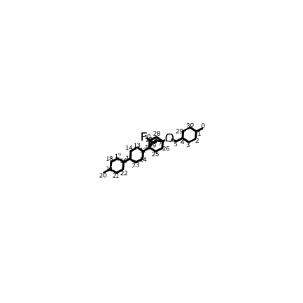 CC1CCC(COC23C=C(F)C(C4CCC(C5CCC(C)CC5)CC4)(CC2)CC3)CC1